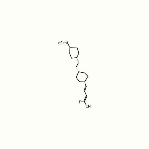 CCCCC[C@H]1CC[C@H](CC[C@H]2CC[C@H](C=CC=C(F)C#N)CC2)CC1